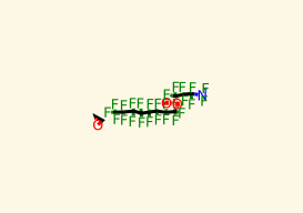 C1CO1.O=S(=O)(C(F)(F)C(F)(F)C(F)(F)N(F)F)C(F)(F)C(F)(F)C(F)(F)C(F)(F)C(F)(F)C(F)(F)C(F)(F)C(F)(F)F